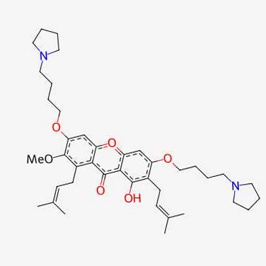 COc1c(OCCCCN2CCCC2)cc2oc3cc(OCCCCN4CCCC4)c(CC=C(C)C)c(O)c3c(=O)c2c1CC=C(C)C